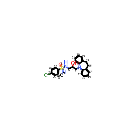 CN=S(=O)(NCC(O)CN1c2ccccc2CCc2ccccc21)c1ccc(Cl)cc1